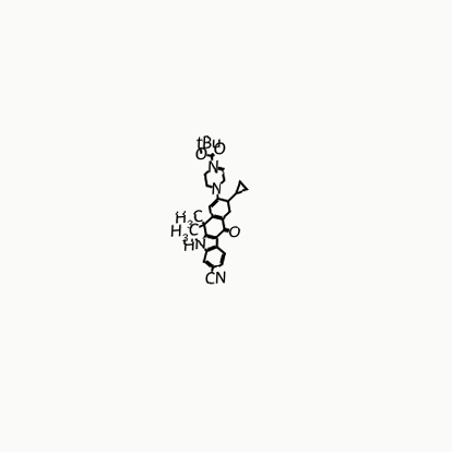 CC(C)(C)OC(=O)N1CCN(C2=CC3=C(CC2C2CC2)C(=O)c2c([nH]c4cc(C#N)ccc24)C3(C)C)CC1